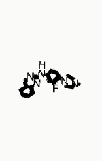 CN1CCN(c2ccc(Nc3ncc4ccccc4n3)cc2F)CC1